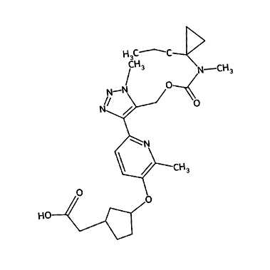 CCCC1(N(C)C(=O)OCc2c(-c3ccc(OC4CCC(CC(=O)O)C4)c(C)n3)nnn2C)CC1